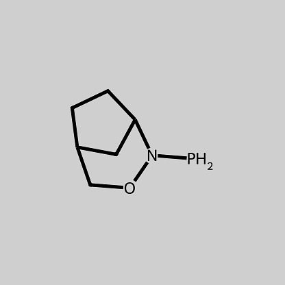 PN1OCC2CCC1C2